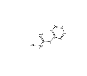 O=C(Cc1ccccc1)NF